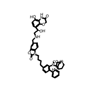 O=C1COc2c([C@@H](O)CNCc3ccc4c(c3)oc(=O)n4CCCCc3ccc(-c4ccccc4)c(N(C(=O)O)[C@H]4CN5CCC4CC5)c3)ccc(O)c2N1